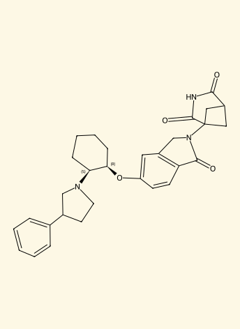 O=C1NC(=O)C2(N3Cc4cc(O[C@@H]5CCCC[C@@H]5N5CCC(c6ccccc6)C5)ccc4C3=O)CC1C2